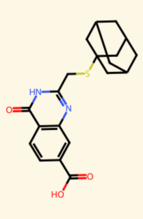 O=C(O)c1ccc2c(=O)[nH]c(CSC34CC5CC(CC(C5)C3)C4)nc2c1